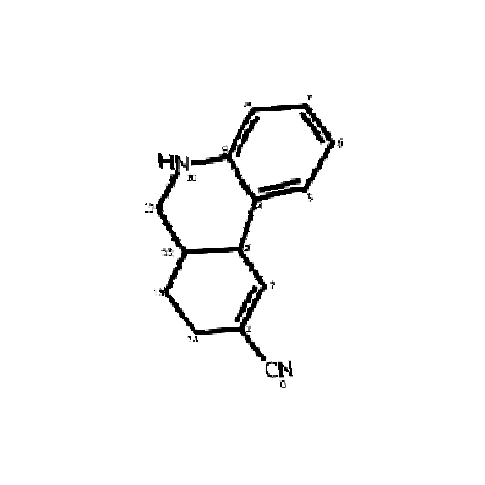 N#CC1=CC2c3ccccc3NCC2CC1